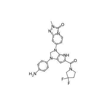 Cn1nc2cc(N3CN(c4ccc(N)cc4)c4cc(C(=O)N5CCC(F)(F)C5)[nH]c43)ccn2c1=O